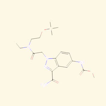 CCOC(=O)CN(C(=O)Cn1nc(C(N)=O)c2cc(NC(=O)OC(C)(C)C)ccc21)[C@H](C)CO[Si](C)(C)C(C)(C)C